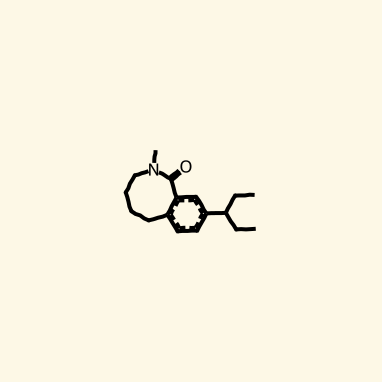 CCC(CC)c1ccc2c(c1)C(=O)N(C)CCCC2